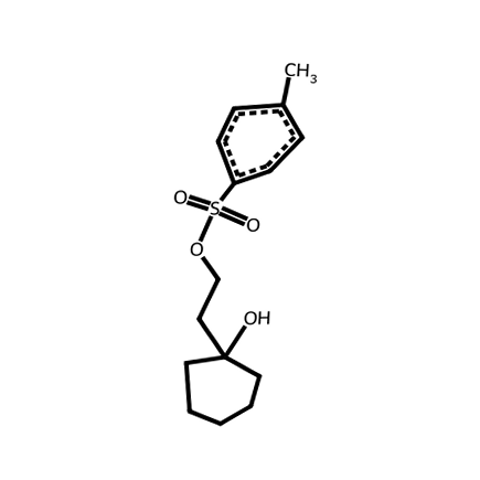 Cc1ccc(S(=O)(=O)OCCC2(O)CCCCC2)cc1